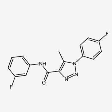 Cc1c(C(=O)Nc2cccc(F)c2)nnn1-c1ccc(F)cc1